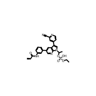 C=CC(=O)Nc1cccc(-c2cnc3c(c2)c(-c2ccnc(C#N)c2)cn3C(C)OP(=O)(O)OCC)c1